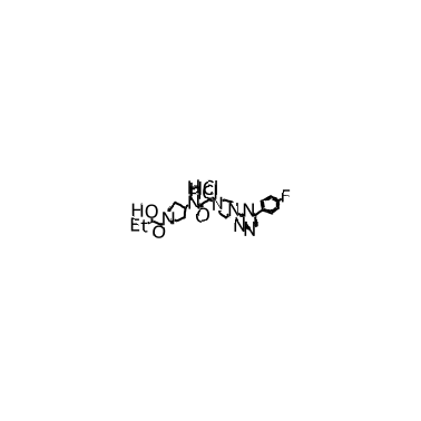 CCC(O)C(=O)N1CCC(NC(=O)CN2CCN(c3nncc(-c4ccc(F)cc4)n3)CC2)CC1.Cl.Cl